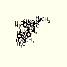 C=CCNC(=O)C(=O)C(CC1CC1)NC(=O)[C@@H]1CC(C)(C)C(C)CN1C(=O)[C@@H](NC(=O)NC1(CS(=O)(=O)C(C)(C)CC)CCCCC1)C1(C)CCCCC1